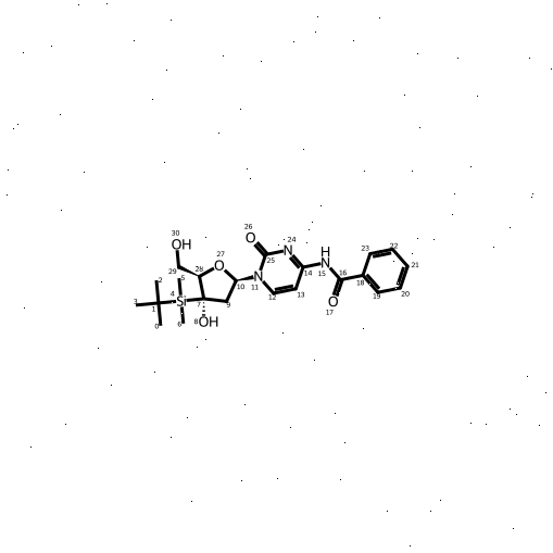 CC(C)(C)[Si](C)(C)[C@]1(O)C[C@H](n2ccc(NC(=O)c3ccccc3)nc2=O)O[C@@H]1CO